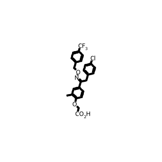 Cc1cc(C(Cc2ccc(Cl)cc2)=NOCc2ccc(C(F)(F)F)cc2)ccc1OCC(=O)O